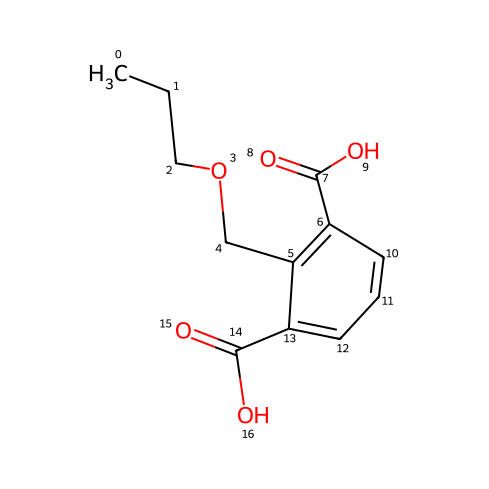 CCCOCc1c(C(=O)O)cccc1C(=O)O